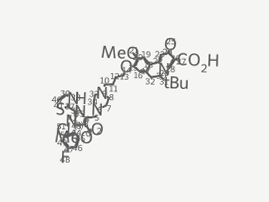 COC(=O)C1=C(CN2CCN(CCCCOc3cc4c(cc3OC)-c3cc(=O)c(C(=O)O)cn3C(C(C)(C)C)C4)CC2)NC(c2nccs2)=N[C@H]1c1ccc(F)cc1Cl